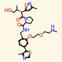 CNCCOCCOc1cc(-c2scnc2C)ccc1CNC(=O)C1CCCN1C(=O)[C@H](c1cc(C)no1)C(C)CO